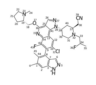 Cc1cc2[nH]ncc2c(-c2c(Cl)cc3c(nc(OC[C@@H]4CCCN4C)c4cnn([C@H]5CCN(CC(C)F)[C@H](CC#N)C5)c43)c2F)c1C